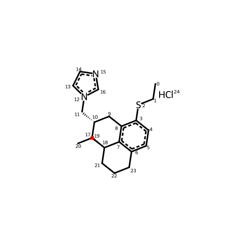 CCSc1ccc2c3c1C[C@@H](Cn1ccnc1)C[C@]3(CC)CCC2.Cl